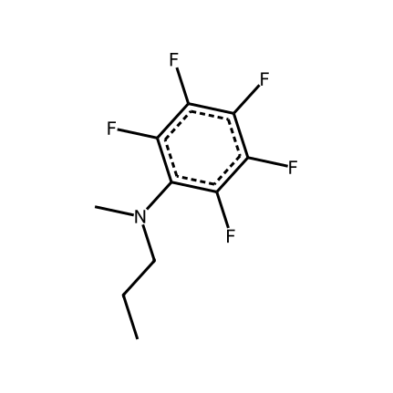 CCCN(C)c1c(F)c(F)c(F)c(F)c1F